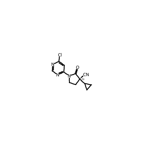 N#C[C@@]1(C2CC2)CCN(c2cc(Cl)ncn2)C1=O